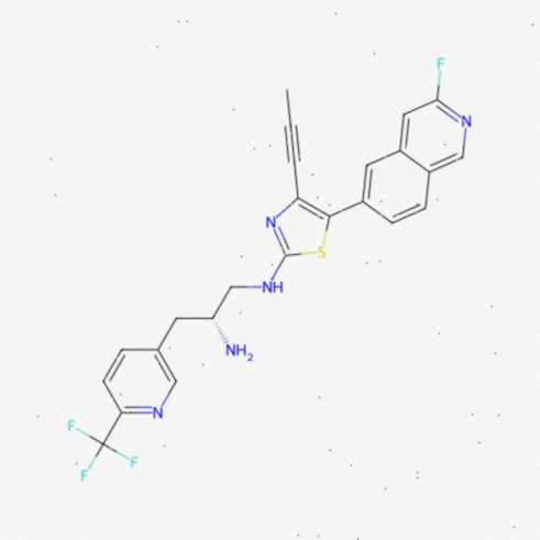 CC#Cc1nc(NC[C@H](N)Cc2ccc(C(F)(F)F)nc2)sc1-c1ccc2cnc(F)cc2c1